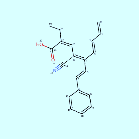 C=CC=CC(C=Cc1ccccc1)=C(C#N)C=C(CC)C(=O)O